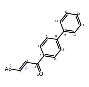 CC(=O)/C=C/C(=O)c1ccc(-c2ccccc2)cc1